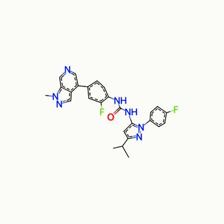 CC(C)c1cc(NC(=O)Nc2ccc(-c3cncc4c3cnn4C)cc2F)n(-c2ccc(F)cc2)n1